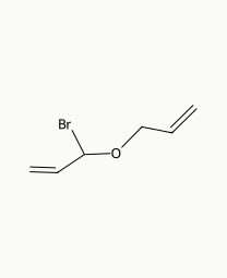 C=CCOC(Br)C=C